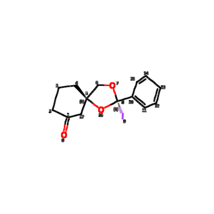 O=C1CCC[C@]2(CO[C@@](I)(c3ccccc3)O2)C1